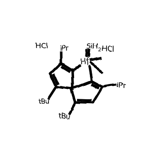 CC(C)C1=[C]([Hf]([CH3])([CH3])(=[SiH2])[C]2=C(C(C)C)C=C(C(C)(C)C)C2)CC(C(C)(C)C)=C1.Cl.Cl